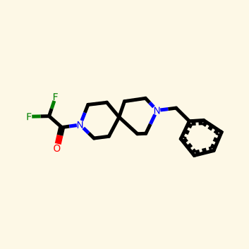 O=C(C(F)F)N1CCC2(CCN(Cc3ccccc3)CC2)CC1